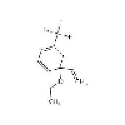 C=CC1(OCC)C=CC=C(C(F)(F)F)C1